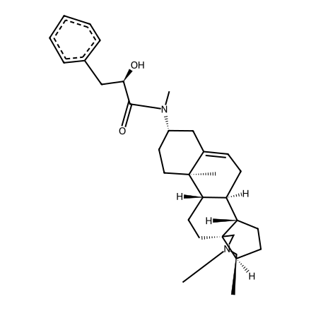 C[C@H]1[C@H]2CC[C@H]3[C@@H]4CC=C5C[C@@H](N(C)C(=O)[C@H](O)Cc6ccccc6)CC[C@]5(C)[C@H]4CC[C@]23CN1C